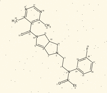 CCC(=O)N(CCN1CC2=CN(C(=O)c3c(C)ncnc3C)CC2C1)c1cccc(F)c1